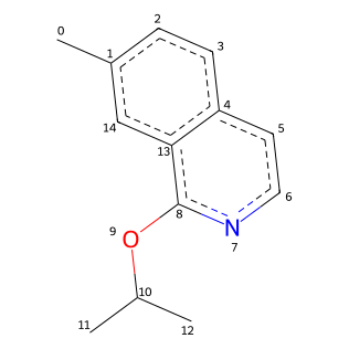 Cc1ccc2ccnc(OC(C)C)c2c1